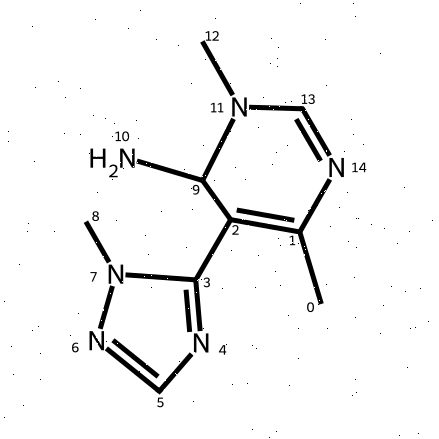 CC1=C(c2ncnn2C)C(N)N(C)C=N1